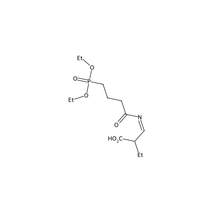 CCOP(=O)(CCCC(=O)/N=C\C(CC)C(=O)O)OCC